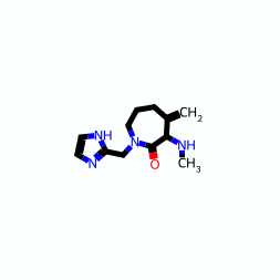 C=C1CCCN(Cc2ncc[nH]2)C(=O)C1NC